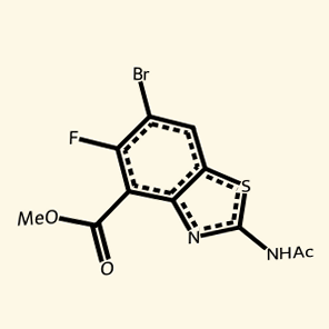 COC(=O)c1c(F)c(Br)cc2sc(NC(C)=O)nc12